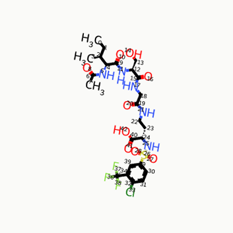 CC[C@H](C)[C@H](NC(C)=O)C(=O)N[C@@H](CO)C(=O)NCC(=O)NCC[C@H](NS(=O)(=O)c1ccc(Cl)c(C(F)(F)F)c1)C(=O)O